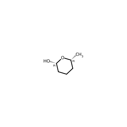 C[C@@H]1CCC[C@H](O)O1